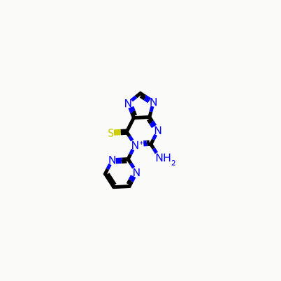 NC1=[N+](c2ncccn2)C(=S)C2=NC=NC2=N1